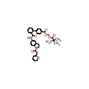 CC(C)(C)C(=O)OCOC(=O)c1ccc(-c2ccccc2C(=O)Nc2ccc3c(c2)CCN3C(=O)Cc2ccccn2)cc1